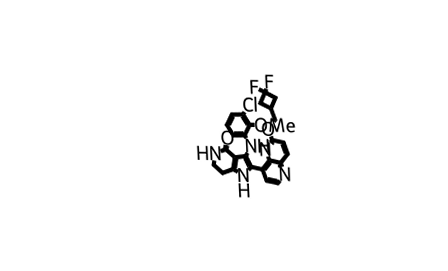 COc1c(Cl)cccc1Nc1c(-c2ccnc3ccc(OCC4CC(F)(F)C4)nc23)[nH]c2c1C(=O)NCC2